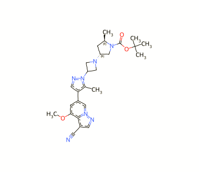 COc1cc(-c2cnn(C3CN([C@@H]4C[C@@H](C)N(C(=O)OC(C)(C)C)C4)C3)c2C)cn2ncc(C#N)c12